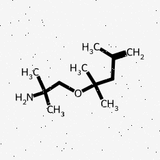 C=C(C)CC(C)(C)OCC(C)(C)N